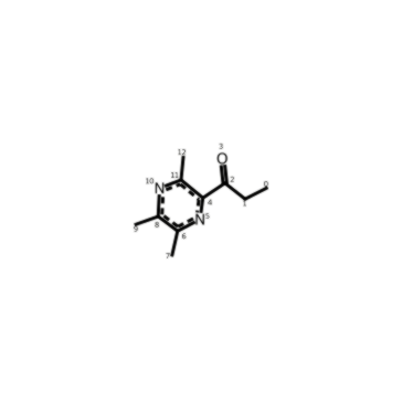 CCC(=O)c1nc(C)c(C)nc1C